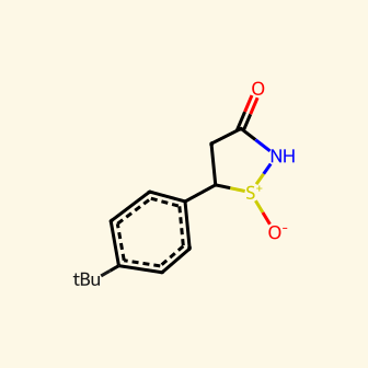 CC(C)(C)c1ccc(C2CC(=O)N[S+]2[O-])cc1